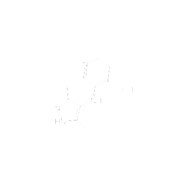 Cc1n[nH]c(C)c1Nc1cnccc1C(=O)O